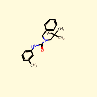 Cc1cccc(NC(=O)N(Cc2ccccc2)CC(C)(C)C)c1